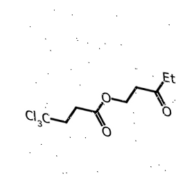 CCC(=O)CCOC(=O)CCC(Cl)(Cl)Cl